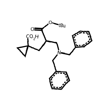 CC(C)(C)OC(=O)C(CN(Cc1ccccc1)Cc1ccccc1)CC1(C(=O)O)CC1